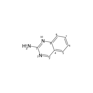 Nc1n[c]c2ccccc2n1